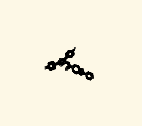 O=C(Cn1nc(-c2ccc(F)cc2)nc1-c1ccc(F)cc1)N1CCc2nc(N3CCOCC3)sc2CC1